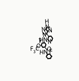 O=C(Nc1ccccc1F)c1cc(Nc2ncccc2-c2ncnc3[nH]cnc23)c(F)c(OC(F)(F)F)c1